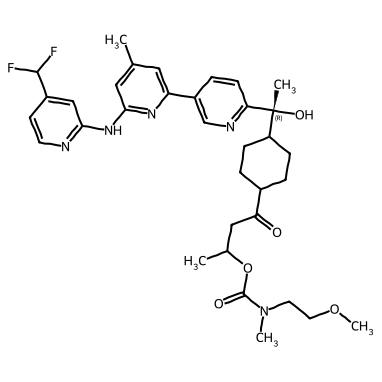 COCCN(C)C(=O)OC(C)CC(=O)C1CCC([C@@](C)(O)c2ccc(-c3cc(C)cc(Nc4cc(C(F)F)ccn4)n3)cn2)CC1